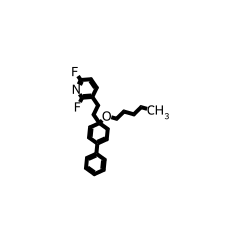 CCCCCOC1(CCc2ccc(F)nc2F)C=CC(c2ccccc2)=CC1